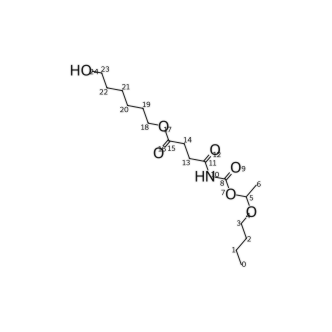 CCCCOC(C)OC(=O)NC(=O)CCC(=O)OCCCCCCO